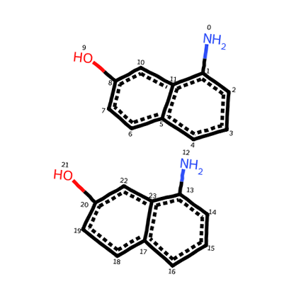 Nc1cccc2ccc(O)cc12.Nc1cccc2ccc(O)cc12